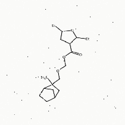 CCC1CC(C(=O)OCOCC2(C)CC3CCC2C3)C(CC)O1